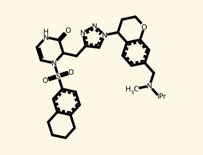 CC(C)N(C)Cc1ccc2c(c1)OCCC2n1cc(CC2C(=O)NC=CN2S(=O)(=O)c2ccc3c(c2)CCCC3)nn1